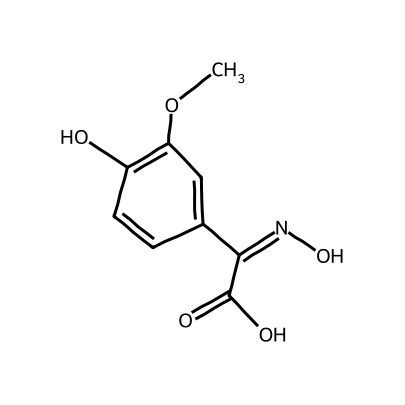 COc1cc(C(=NO)C(=O)O)ccc1O